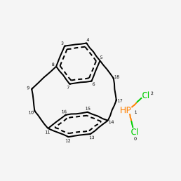 ClPCl.c1cc2ccc1CCc1ccc(cc1)CC2